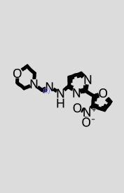 O=[N+]([O-])c1ccoc1-c1nccc(N/N=C/N2CCOCC2)n1